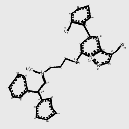 CN(CCCNc1cc(-c2ccccc2Cl)nc2c(Br)cnn12)CC(c1ccccc1)c1ccccc1